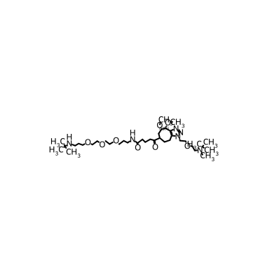 CO[C@H]1CC(C(=O)CCCC(=O)NCCCOCCOCCOCCCNC(C)(C)C)CCc2c(nnn2CCOCCN(C)C(C)(C)C)[C@@H]1OC